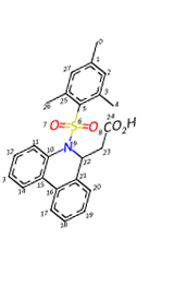 Cc1cc(C)c(S(=O)(=O)N2c3ccccc3-c3ccccc3C2CC(=O)O)c(C)c1